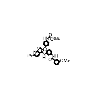 COc1cccc(C(=O)Nc2ccc(Oc3ccc(NC(=O)OC(C)(C)C)cc3)c(Nc3ncnc4nc(C(C)C)ccc34)c2)c1